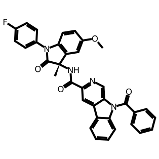 COc1ccc2c(c1)[C@](C)(NC(=O)c1cc3c4ccccc4n(C(=O)c4ccccc4)c3cn1)C(=O)N2c1ccc(F)cc1